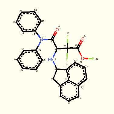 O=C(C(NC1Cc2cccc3cccc1c23)C(F)(F)C(=O)OF)N(c1ccccc1)c1ccccc1